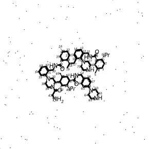 CC(C)[C@@H]1CC[C@@H](C)C[C@H]1C(=O)NCc1cccc(CC(C)[C@@H]2CC[C@@H](C)C[C@H]2C(=O)NCc2ccccc2N2CCN(C(=O)CN)C(C3C[C@@H](C(C)C)[C@H](C(=O)NCc4ccc(N5CCNCC5)cc4)C[C@@H]3C)C2)c1N1CCNCC1